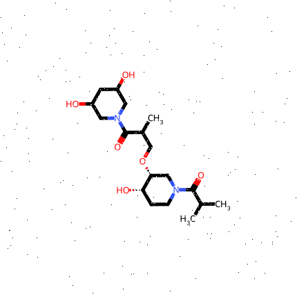 CC(C)C(=O)N1CC[C@H](O)[C@H](OCC(C)C(=O)N2CC(O)CC(O)C2)C1